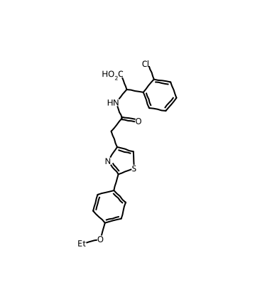 CCOc1ccc(-c2nc(CC(=O)NC(C(=O)O)c3ccccc3Cl)cs2)cc1